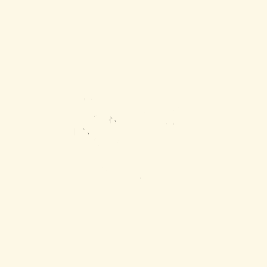 CS(=O)(=O)OCCn1c(=O)[nH]c2ccc(Cl)cc21